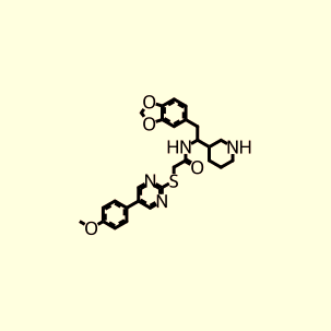 COc1ccc(-c2cnc(SCC(=O)NC(Cc3ccc4c(c3)OCO4)C3CCCNC3)nc2)cc1